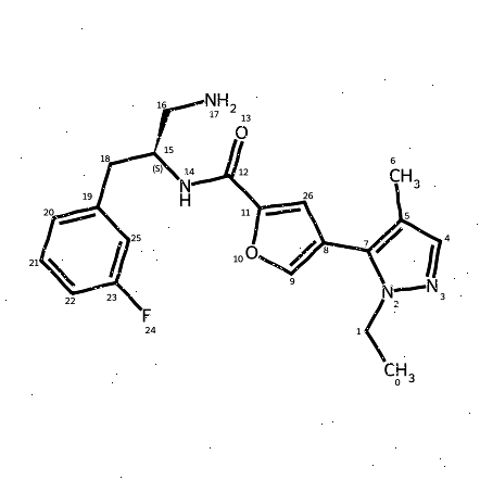 CCn1ncc(C)c1-c1coc(C(=O)N[C@H](CN)Cc2cccc(F)c2)c1